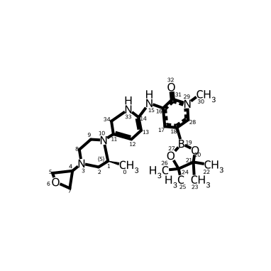 C[C@H]1CN(C2COC2)CCN1C1=CC=C(Nc2cc(B3OC(C)(C)C(C)(C)O3)cn(C)c2=O)NC1